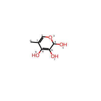 CC1=COC(O)C(O)=C1O